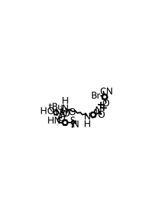 Cc1ncsc1-c1ccc([C@H](C)NC(=O)[C@@H]2C[C@@H](O)CN2C(=O)[C@@H](NC(=O)COCCCCCNc2ccc3c(c2)CN([C@H]2C(C)(C)[C@H](Oc4ccc(C#N)c(Br)c4)C2(C)C)C3=O)C(C)(C)C)cc1